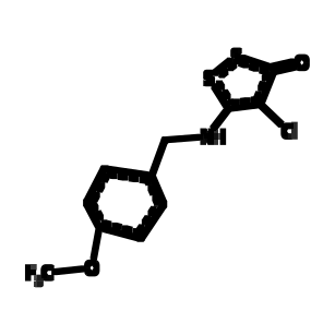 O=c1ssc(NCc2ccc(OC(F)(F)F)cc2)c1Cl